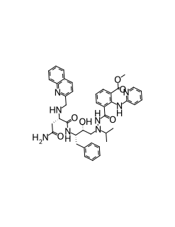 COC(=O)c1cccc(C(=O)NN(C[C@@H](O)[C@H](Cc2ccccc2)NC(=O)[C@H](CC(N)=O)NCc2ccc3ccccc3n2)C(C)C)c1Nc1ccccn1